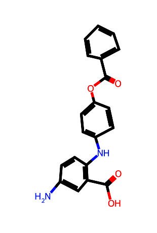 Nc1ccc(Nc2ccc(OC(=O)c3ccccc3)cc2)c(C(=O)O)c1